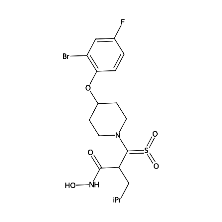 CC(C)CC(C(=O)NO)C(N1CCC(Oc2ccc(F)cc2Br)CC1)=S(=O)=O